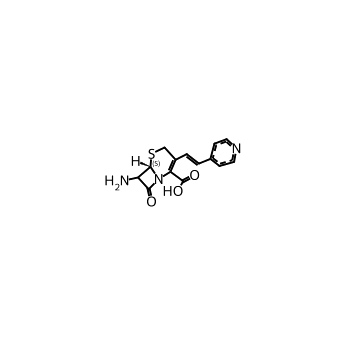 NC1C(=O)N2C(C(=O)O)=C(C=Cc3ccncc3)CS[C@@H]12